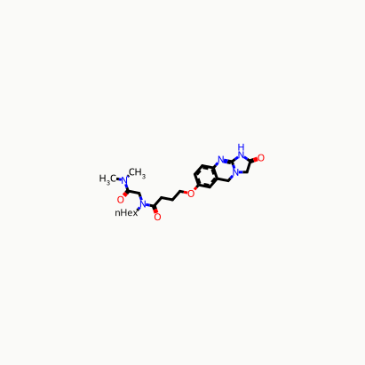 CCCCCCN(CC(=O)N(C)C)C(=O)CCCOc1ccc2c(c1)CN1CC(=O)NC1=N2